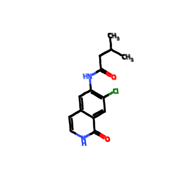 CC(C)CC(=O)Nc1cc2cc[nH]c(=O)c2cc1Cl